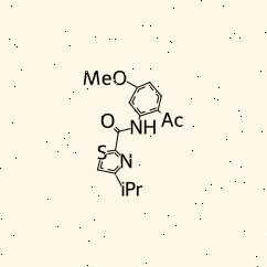 COc1ccc(C(C)=O)c(NC(=O)c2nc(C(C)C)cs2)c1